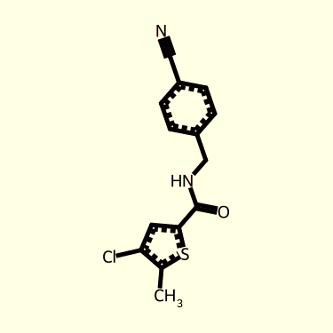 Cc1sc(C(=O)NCc2ccc(C#N)cc2)cc1Cl